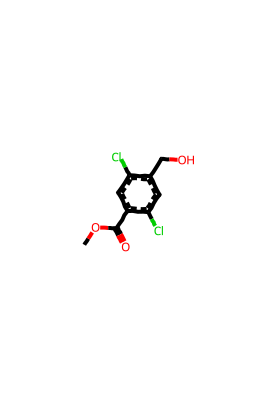 COC(=O)c1cc(Cl)c(CO)cc1Cl